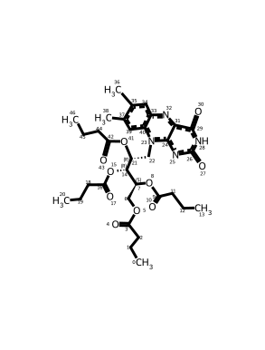 CCCC(=O)OC[C@H](OC(=O)CCC)[C@H](OC(=O)CCC)[C@@H](Cn1c2nc(=O)[nH]c(=O)c-2nc2cc(C)c(C)cc21)OC(=O)CCC